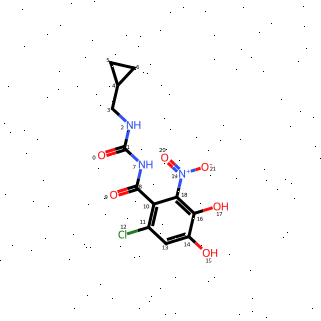 O=C(NCC1CC1)NC(=O)c1c(Cl)cc(O)c(O)c1[N+](=O)[O-]